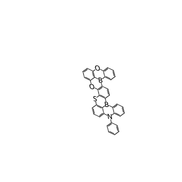 c1ccc(N2c3ccccc3B3c4ccc5c(c4Sc4cccc2c43)Oc2cccc3c2B5c2ccccc2O3)cc1